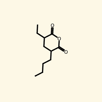 CCCCC1CC(CC)C(=O)OC1=O